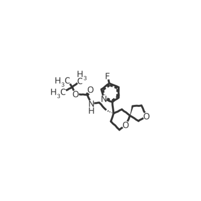 CC(C)(C)OC(=O)NCC[C@@]1(c2ccc(F)cn2)CCO[C@]2(CCOC2)C1